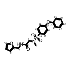 CN(CC(=O)NCc1ccco1)S(=O)(=O)c1ccc(Oc2ccccc2)cc1